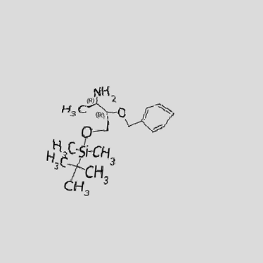 C[C@@H](N)[C@H](CO[Si](C)(C)C(C)(C)C)OCc1ccccc1